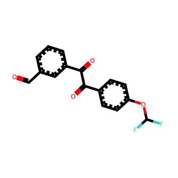 O=Cc1cccc(C(=O)C(=O)c2ccc(OC(F)F)cc2)c1